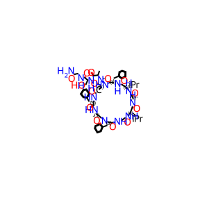 CC(C)C[C@@H]1NC(=O)CNC(=O)[C@H](Cc2ccccc2)N(C)C(=O)[C@H](C)NC(=O)[C@H](Cc2ccccc2)NC(=O)C[C@@H](C(=O)N(C)C(C)C(=O)NC(CO)C(=O)NCC(N)=O)NC(=O)[C@H](Cc2ccccc2)NC(=O)[C@H](C(C)C)NC(=O)[C@H](C)NC1=O